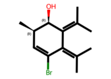 CC(C)=C1C(Br)=C[C@@H](C)[C@@H](O)C1=C(C)C